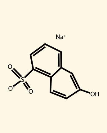 O=S(=O)([O-])c1cccc2cc(O)ccc12.[Na+]